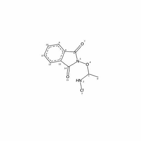 CC(NCl)ON1C(=O)c2ccccc2C1=O